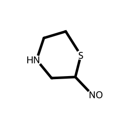 O=NC1CNCCS1